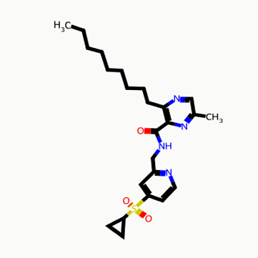 CCCCCCCCCc1ncc(C)nc1C(=O)NCc1cc(S(=O)(=O)C2CC2)ccn1